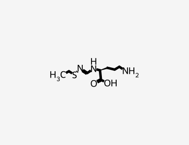 CCSN=CN[C@@H](CCCN)C(=O)O